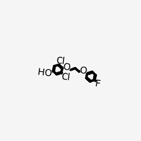 Oc1cc(Cl)c(OCCCOc2ccc(F)cc2)c(Cl)c1